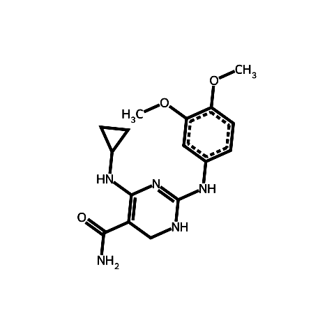 COc1ccc(NC2=NC(NC3CC3)=C(C(N)=O)CN2)cc1OC